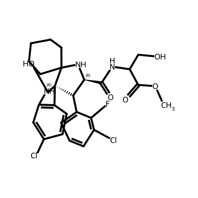 COC(=O)C(CO)NC(=O)[C@@H]1NC2(CCCCC2)[C@]2(c3ccc(Cl)cc3NC2O)C1c1cccc(Cl)c1F